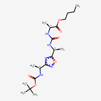 CCCCOC(=O)[C@H](C)NC(=O)N[C@@H](C)c1nc([C@H](C)NC(=O)OC(C)(C)C)no1